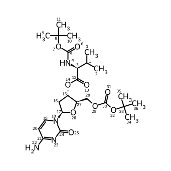 CC(C)[C@H](NC(=O)OC(C)(C)C)C(=O)O[C@H]1C[C@H](n2ccc(N)nc2=O)O[C@@H]1COC(=O)OC(C)(C)C